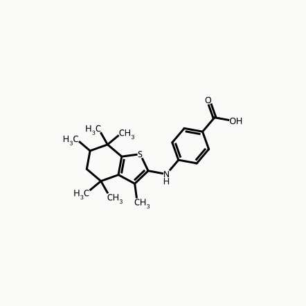 Cc1c(Nc2ccc(C(=O)O)cc2)sc2c1C(C)(C)CC(C)C2(C)C